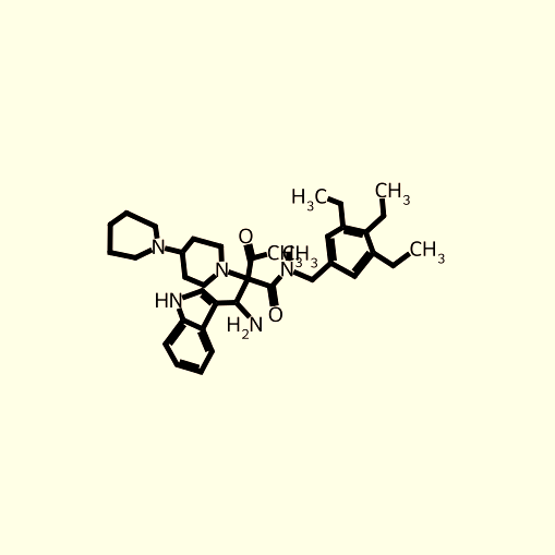 CCc1cc(CN(C)C(=O)C(C(C)=O)(C(N)c2c[nH]c3ccccc23)N2CCC(N3CCCCC3)CC2)cc(CC)c1CC